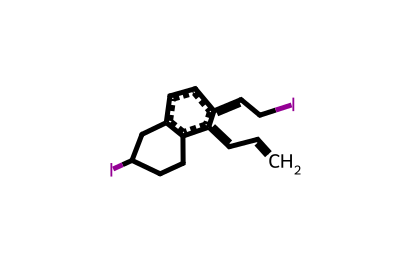 C=C/C=c1/c2c(cc/c1=C/CI)CC(I)CC2